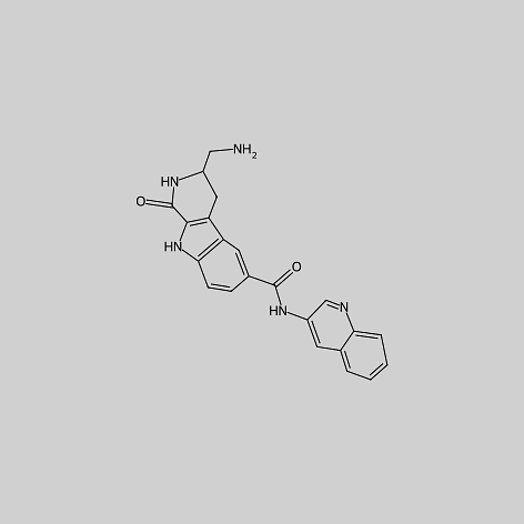 NCC1Cc2c([nH]c3ccc(C(=O)Nc4cnc5ccccc5c4)cc23)C(=O)N1